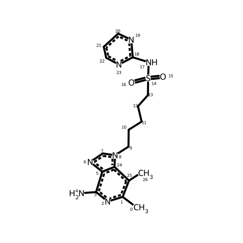 Cc1nc(N)c2ncn(CCCCCS(=O)(=O)Nc3ncccn3)c2c1C